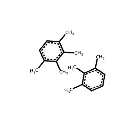 Cc1ccc(C)c(C)c1C.Cc1cccc(C)c1C